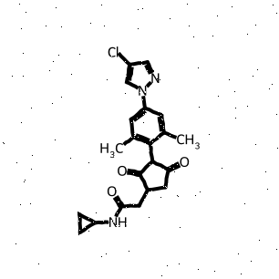 Cc1cc(-n2cc(Cl)cn2)cc(C)c1C1C(=O)CC(CC(=O)NC2CC2)C1=O